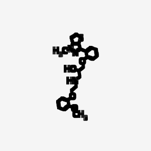 COc1ccccc1OCCNCC(O)COc1ccccc1-c1nn(C)c2ccsc12